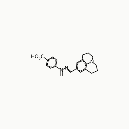 O=C(O)c1ccc(NN=Cc2cc3c4c(c2)CCCN4CCC3)cc1